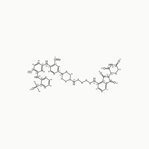 COc1cc(N2CCC(NCCCCNc3cccc4c3C(=O)N(C3CCC(=O)NC3=O)C4=O)CC2)ccc1Nc1ncc(Cl)c(Nc2ccccc2P(C)(C)=O)n1